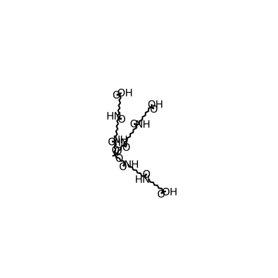 CC(COCCC(=O)NCCCCCCCC(=O)NCCCCCCCC(=O)O)(COCCC(=O)NCCCCCCCC(=O)NCCCCCCCC(=O)O)COCCC(=O)NCCCCCCCC(=O)NCCCCCCCC(=O)O